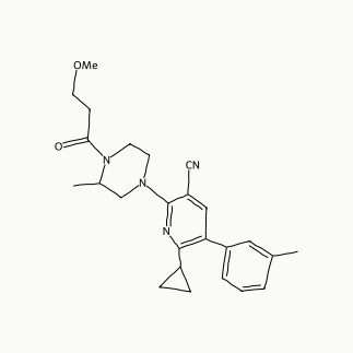 COCCC(=O)N1CCN(c2nc(C3CC3)c(-c3cccc(C)c3)cc2C#N)CC1C